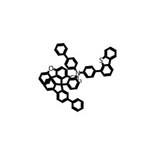 Cc1ccc2oc3ccccc3c2c1C1(c2cccc(N(c3ccc(-c4ccccc4)cc3)c3ccc(-c4cccc5c4sc4ccccc45)cc3)c2)c2ccccc2-c2ccc(-c3ccccc3)cc21